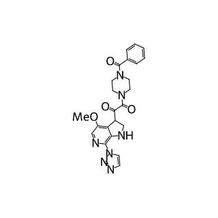 COc1cnc(-n2ccnn2)c2c1C(C(=O)C(=O)N1CCN(C(=O)c3ccccc3)CC1)CN2